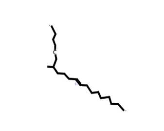 [CH2]CCCCCCC/C=C/CCCC(C)CCCCC[CH2]